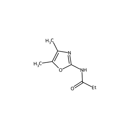 CCC(=O)Nc1nc(C)c(C)o1